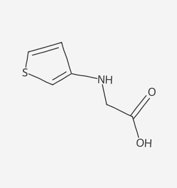 O=C(O)CNc1ccsc1